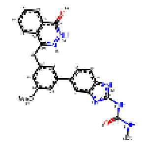 CCNC(=O)Nc1nc2cc(-c3cc(Cc4n[nH]c(=O)c5ccccc45)cc(OC)c3)ccc2[nH]1